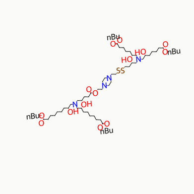 CCCCOC(=O)CCCCCCC(O)CN(CCCCC(=O)OCCN1CCN(CCSSCCCCN(CC(O)CCCCC(=O)OCCCC)CC(O)CCCCC(=O)OCCCC)CC1)CC(O)CCCCCCC(=O)OCCCC